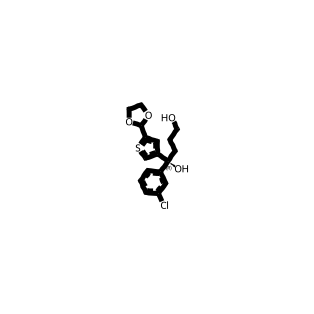 OCCC[C@@](O)(c1cccc(Cl)c1)c1csc(C2OCCO2)c1